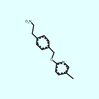 Cc1ccc(OCc2ccc(CC[N+](=O)[O-])cc2)nc1